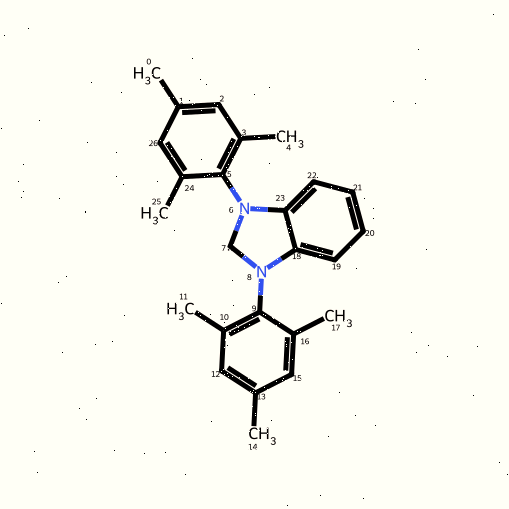 Cc1cc(C)c(N2[C]N(c3c(C)cc(C)cc3C)c3ccccc32)c(C)c1